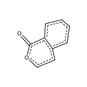 O=c1occc2ccccc12